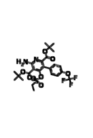 CCS(=O)(=O)Oc1c(C(=O)OC(C)(C)C)c(N)nc(C(=O)OC(C)(C)C)c1-c1ccc(OC(F)(F)F)cc1